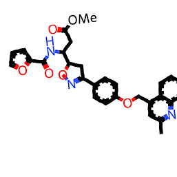 COC(=O)CC(NC(=O)c1ccco1)C1CC(c2ccc(OCc3cc(C)nc4ccccc34)cc2)=NO1